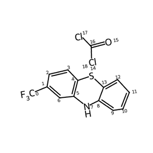 FC(F)(F)c1ccc2c(c1)Nc1ccccc1S2.O=C(Cl)Cl